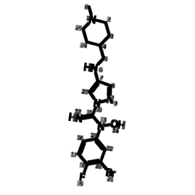 CN1CCC(CNc2cnn(C(=N)N(O)c3ccc(F)c(Br)c3)c2)CC1